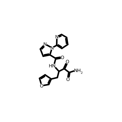 NC(=O)C(=O)C(Cc1ccoc1)NC(=O)c1ccnn1-c1ccccn1